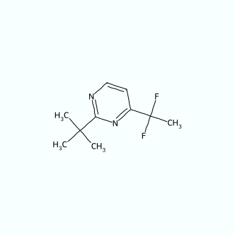 CC(C)(C)c1nccc(C(C)(F)F)n1